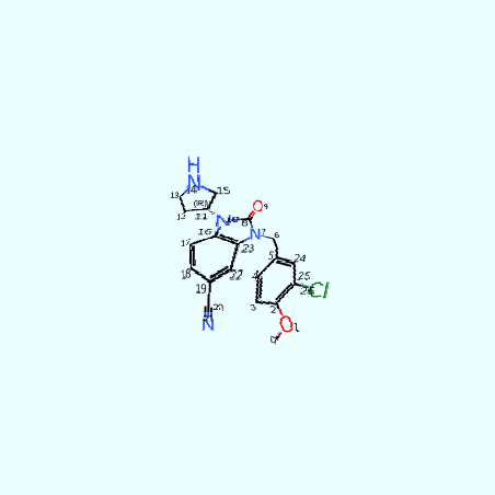 COc1ccc(Cn2c(=O)n([C@@H]3CCNC3)c3ccc(C#N)cc32)cc1Cl